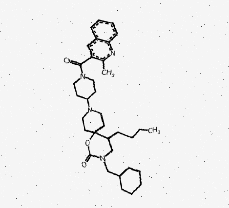 CCCCC1CN(CC2CCCCC2)C(=O)OC12CCN(C1CCN(C(=O)c3cc4ccccc4nc3C)CC1)CC2